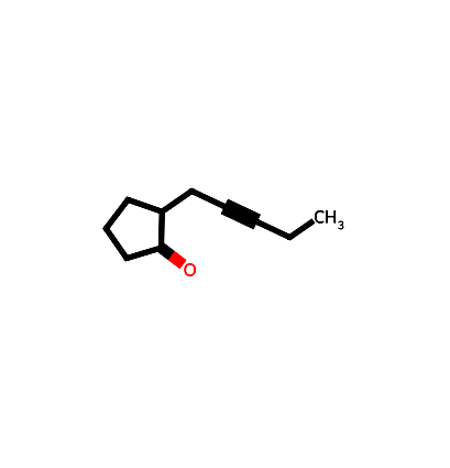 CCC#CCC1CCCC1=O